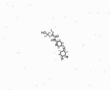 CCN(CC(C)(C)O)C(=O)Nc1ccc(Oc2ccc(F)c(F)c2)cn1